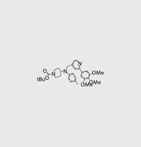 COc1cc(-c2cc(CN(c3ccc(C)cc3)C3CCN(C(=O)OC(C)(C)C)CC3)ccn2)cc(OC)c1OC